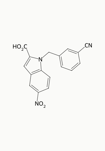 N#Cc1cccc(Cn2c(C(=O)O)cc3cc([N+](=O)[O-])ccc32)c1